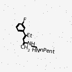 C=C(/C=C(\CC)c1cccc(F)c1)NCCNCCCCC